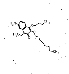 CCCCCCCCOc1c(OCCCC)c2ccc(N)cc2n(CC)c1=O